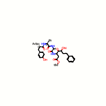 CC(=O)N[C@@H](Cc1ccc(O)cc1)C(=O)N[C@H](C(=O)N[C@@H](C)C(=O)NC(CC(=O)OC(C)(C)C)C(=O)C(O)CCc1ccccc1)C(C)C